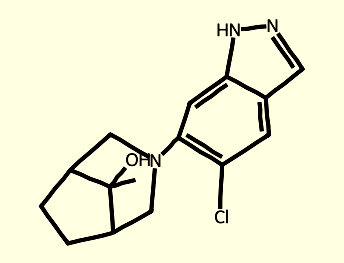 CC1(O)C2CCC1CN(c1cc3[nH]ncc3cc1Cl)C2